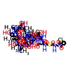 CC[C@H](C)[C@H](NC(=O)[C@H](CO)NC(=O)[C@H](CC(C)C)NC(=O)[C@H](CC(=O)O)NC(=O)[C@H](CO)NC(=O)[C@@H](NC(=O)[C@H](Cc1ccccc1)NC(=O)[C@@H](NC(=O)CNC(=O)[C@H](CCC(=O)O)NC(=O)CSCC(=O)NCCN1C(=O)c2cccc(Cl)c2C1=O)[C@@H](C)O)[C@@H](C)O)C(=O)N[C@@H](Cc1ccc(O)cc1)C(=O)N[C@@H](CC(C)C)C(=O)N[C@@H](CC(=O)O)C(=O)N[C@H](C)CCCCN